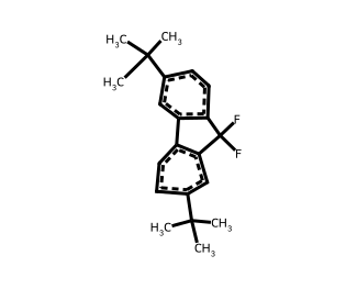 CC(C)(C)c1ccc2c(c1)-c1ccc(C(C)(C)C)cc1C2(F)F